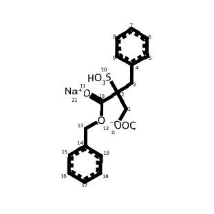 O=C([O-])CC(Cc1ccccc1)(C(=O)OCc1ccccc1)S(=O)(=O)O.[Na+]